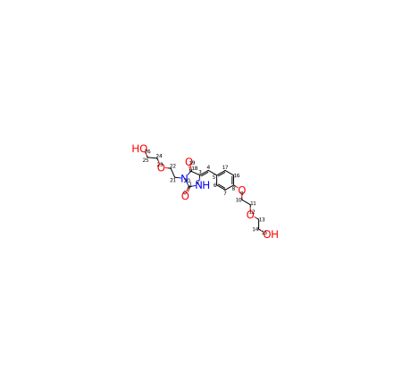 O=C1N/C(=C\c2ccc(OCCOCCO)cc2)C(=O)N1CCOCCO